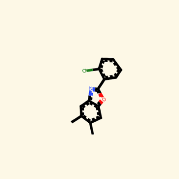 Cc1cc2nc(-c3cc[c]cc3Cl)oc2cc1C